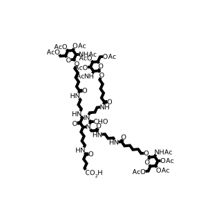 CC(=O)NC1C(OCCCCCC(=O)NCCCNCC(=O)C(CCCCNC(=O)CCCC(=O)O)N(CC(=O)NCCCNC(=O)CCCCCOC2OC(COC(C)=O)C(OC(C)=O)C(OC(C)=O)C2NC(C)=O)C(C=O)NCCCNC(=O)CCCCCOC2OC(COC(C)=O)C(OC(C)=O)C(OC(C)=O)C2NC(C)=O)OC(COC(C)=O)C(OC(C)=O)C1OC(C)=O